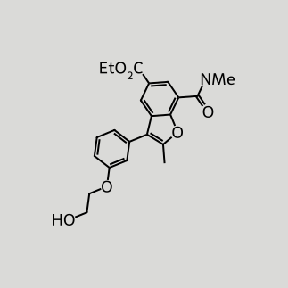 CCOC(=O)c1cc(C(=O)NC)c2oc(C)c(-c3cccc(OCCO)c3)c2c1